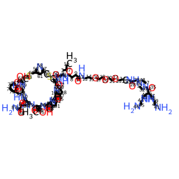 CCCC[C@H](NC(=O)CCC(=O)NCCCOCCOCCOCCCNC(=O)CN1CCN(C(=O)C(CNCCN)CNCCN)CC1)C(=O)N[C@H]1CSCc2cncc(c2)CSCC(C(=O)O)NC(=O)[C@H](Cc2ccccc2)NC(=O)[C@H](CCC(N)=O)NC(=O)[C@H]([C@@H](C)O)NC(=O)[C@@H]2CCCN2C(=O)[C@@H]2CCCN2C1=O